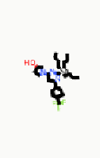 CCC[CH2][Sn]([CH2]CCC)([CH2]CCC)[c]1nc(-c2ccc(C(F)(F)F)cc2)cc(N2CCC(O)C2)n1